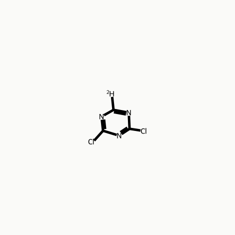 [2H]c1nc(Cl)nc(Cl)n1